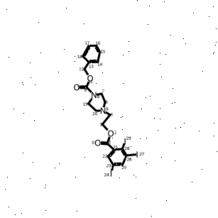 O=C(OCCN1CCN(C(=O)OCc2ccccc2)CC1)c1cc(I)cc(I)c1I